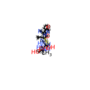 CC(NC(=N)c1c(O)nsc1Nc1nc(CC2CC2)c(C(=O)n2cc(C#N)c3c4c(cnc32)OCCC4)s1)C(O)CO